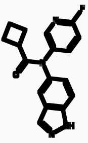 O=C(C1CCC1)N(c1ccc(F)nc1)c1ccc2[nH]ncc2c1